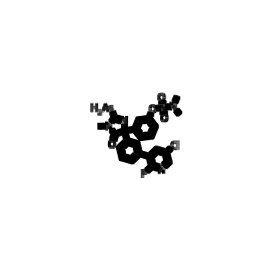 CN1C(=O)C(c2cccc(OS(=O)(=O)N(C)C)c2)(c2cccc(-c3cc(Cl)cnc3F)c2)N=C1[AsH2]